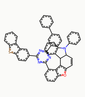 C1=CC2C(c3ccccc3N2c2ccccc2)c2c1oc1cccc(-c3nc(-c4cccc(-c5ccccc5)c4)nc(-c4ccc5sc6ccccc6c5c4)n3)c21